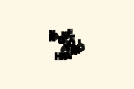 Cc1cccn2nc([C@@H]3c4nc[nH]c4CCN3C(=O)c3oc(-c4cnn(C)c4)nc3C(F)F)cc12